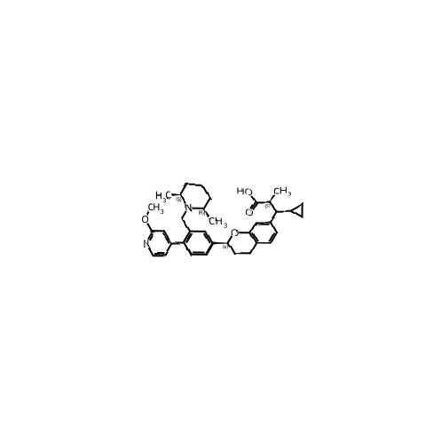 COc1cc(-c2ccc([C@@H]3CCc4ccc(C(C5CC5)[C@H](C)C(=O)O)cc4O3)cc2CN2[C@H](C)CCC[C@@H]2C)ccn1